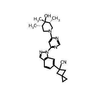 C[C@@H]1CN(c2cc(-n3ncc4ccc(C5(C#N)CC6(CC6)C5)cc43)ncn2)C[C@H](C)[C@]1(C)O